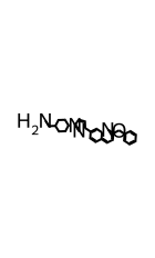 NCC1CCC(n2ccc(-c3ccc4ccc(Oc5ccccc5)nc4c3)n2)CC1